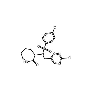 O=C1NCCCC[C@H]1N(Cc1ccc(Cl)nc1)S(=O)(=O)c1ccc(Cl)cc1